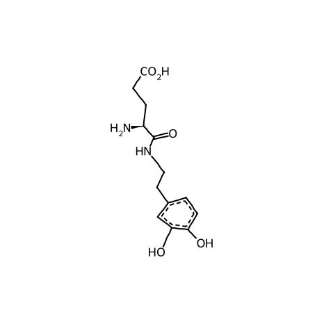 N[C@@H](CCC(=O)O)C(=O)NCCc1ccc(O)c(O)c1